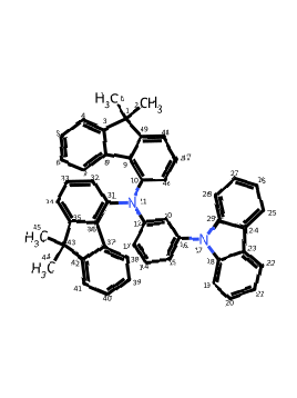 CC1(C)c2ccccc2-c2c(N(c3cccc(-n4c5ccccc5c5ccccc54)c3)c3cccc4c3-c3ccccc3C4(C)C)cccc21